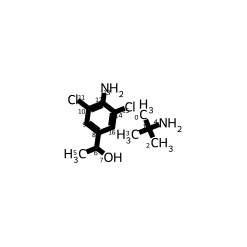 CC(C)(C)N.CC(O)c1cc(Cl)c(N)c(Cl)c1